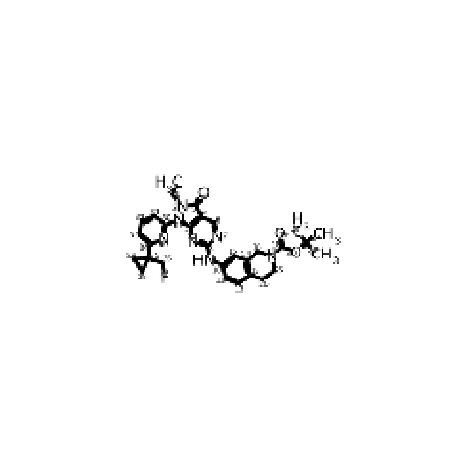 CCn1c(=O)c2cnc(Nc3ccc4c(c3)CN(C(=O)OC(C)(C)C)CC4)nc2n1-c1cccc(C2(CF)CC2)n1